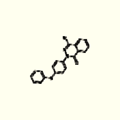 O=c1c2ccccc2c(Br)nn1-c1ccc(Sc2ccccc2)cc1